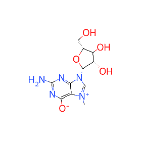 C[n+]1cn([C@@H]2O[C@H](CO)C(O)[C@@H]2O)c2nc(N)nc([O-])c21